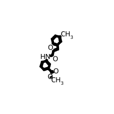 COC(=O)c1cccc(NC(=O)c2cc3cc(C)ccc3o2)c1